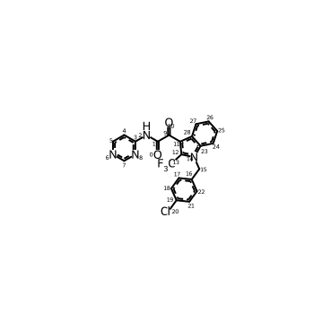 O=C(Nc1ccncn1)C(=O)c1c(C(F)(F)F)n(Cc2ccc(Cl)cc2)c2ccccc12